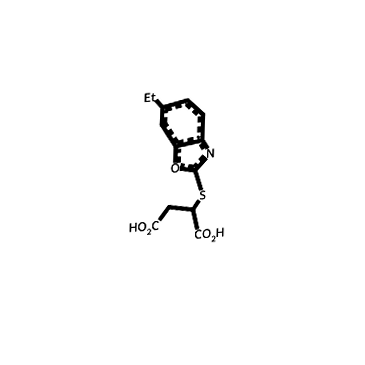 CCc1ccc2nc(SC(CC(=O)O)C(=O)O)oc2c1